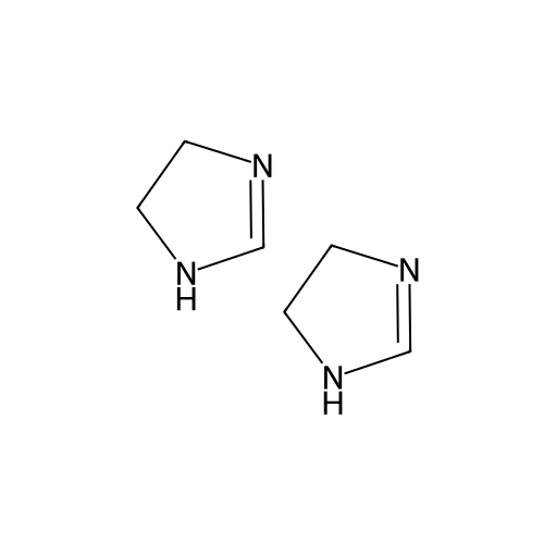 C1=NCCN1.C1=NCCN1